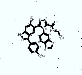 COc1ccc(-c2n[nH]c3cc(O)c(-c4nnc(C(=O)NCC(F)(F)F)n4-c4ccc5c(c4)OCO5)cc23)cc1